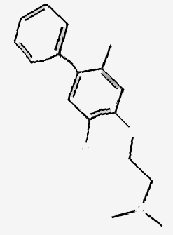 Cc1cc(OCCN(C)C)c(C(=O)O)cc1-c1ccccc1